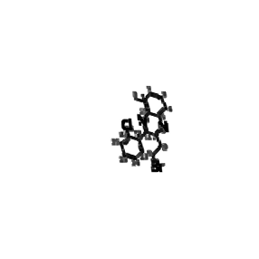 Cc1cccc2nc(CCBr)c(-c3ccccc3Cl)nc12